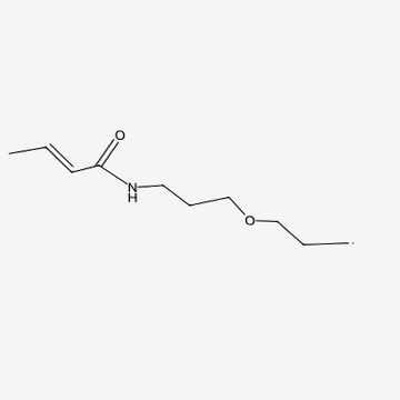 [CH2]CCOCCCNC(=O)C=CC